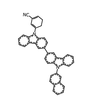 N#CC1=CCCC(n2c3ccccc3c3cc(-c4ccc5c(c4)c4ccccc4n5-c4ccc5ccccc5c4)ccc32)=C1